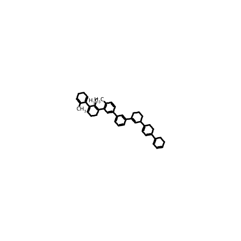 CC1=CCCC=C1C1=CCCC(c2cc(-c3cccc(C4=CC(C5=CC=C(C6=CC=CCC6)CC5)CCC4)c3)ccc2C)=C1C